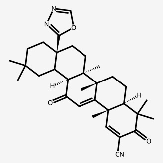 CC1(C)CC[C@]2(c3nnco3)CC[C@]3(C)[C@@H](C(=O)C=C4[C@@]5(C)C=C(C#N)C(=O)C(C)(C)[C@@H]5CC[C@]43C)C2C1